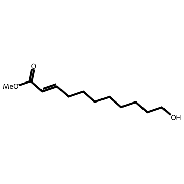 COC(=O)C=CCCCCCCCCO